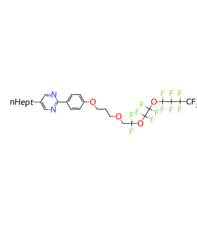 CCCCCCCc1cnc(-c2ccc(OCCCOCC(F)(F)OC(F)(F)C(F)(F)OC(F)(F)C(F)(F)C(F)(F)C(F)(F)F)cc2)nc1